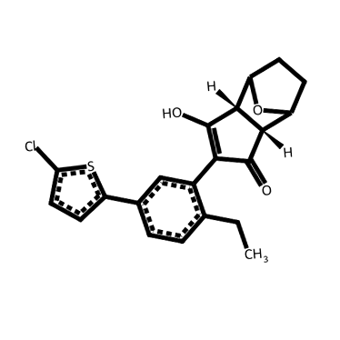 CCc1ccc(-c2ccc(Cl)s2)cc1C1=C(O)[C@@H]2C3CCC(O3)[C@@H]2C1=O